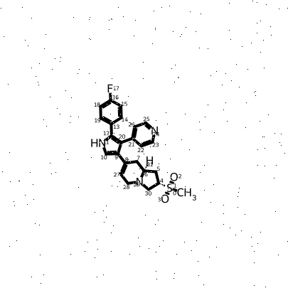 CS(=O)(=O)[C@H]1C[C@@H]2CC(c3c[nH]c(-c4ccc(F)cc4)c3-c3ccncc3)=CCN2C1